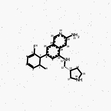 CC1C=CC=C(F)C1c1cc(NC[C@@H]2CCNC2)c2cc(N)ncc2c1